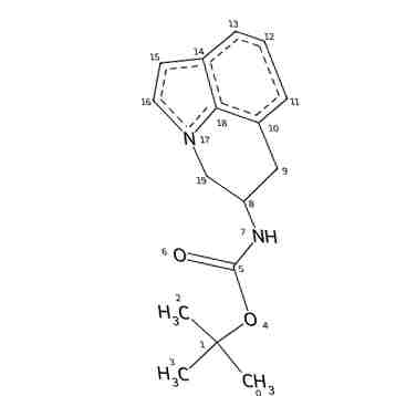 CC(C)(C)OC(=O)NC1Cc2cccc3ccn(c23)C1